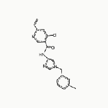 C=Cc1cc(Cl)c(C(=O)Nc2cn(Cc3cccc(C)c3)cn2)cn1